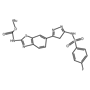 CC(C)(C)OC(=O)Nc1nc2ccc(C3=NN=C(NS(=O)(=O)c4ccc(F)cc4)C3)cc2s1